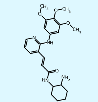 COc1cc(Nc2ncccc2/C=C/C(=O)NC2CCCCC2N)cc(OC)c1OC